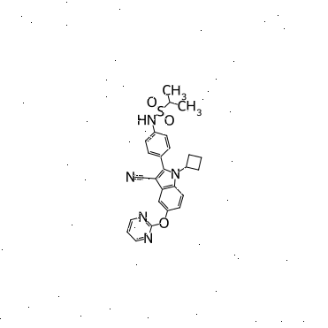 CC(C)S(=O)(=O)Nc1ccc(-c2c(C#N)c3cc(Oc4ncccn4)ccc3n2C2CCC2)cc1